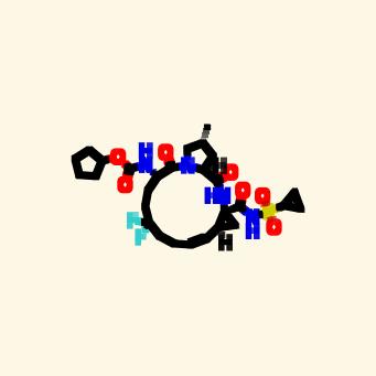 C[C@@H]1C[C@H]2C(=O)N[C@]3(C(=O)NS(=O)(=O)C4CC4)C[C@H]3/C=C\CCC(F)(F)CC[C@H](NC(=O)OC3CCCC3)C(=O)N2C1